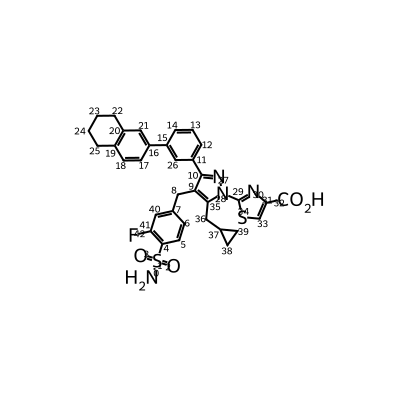 NS(=O)(=O)c1ccc(Cc2c(-c3cccc(-c4ccc5c(c4)CCCC5)c3)nn(-c3nc(C(=O)O)cs3)c2CC2CC2)cc1F